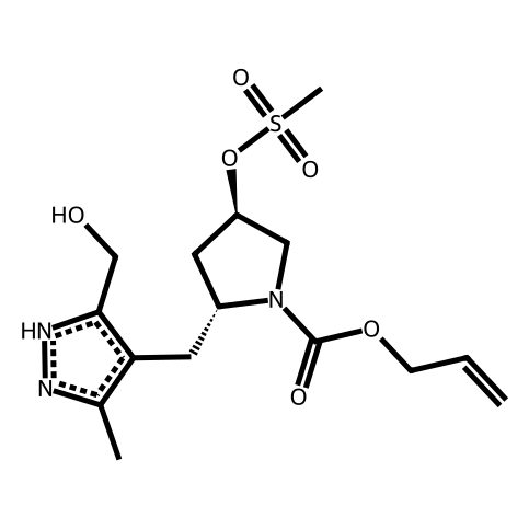 C=CCOC(=O)N1C[C@H](OS(C)(=O)=O)C[C@H]1Cc1c(C)n[nH]c1CO